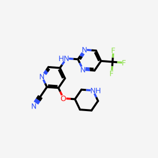 N#Cc1ncc(Nc2ncc(C(F)(F)F)cn2)cc1OC1CCCNC1